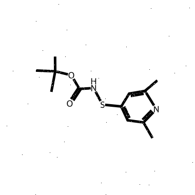 Cc1cc(SNC(=O)OC(C)(C)C)cc(C)n1